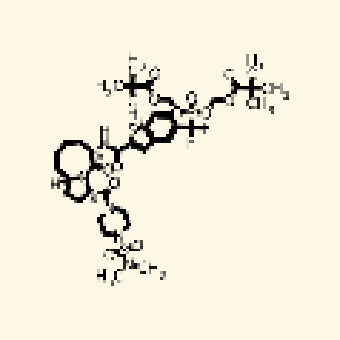 CN(C)S(=O)(=O)N1CCN(C(=O)[C@@H]2CC[C@@H]3CCCC[C@H](NC(=O)c4cc5cc(C(F)(F)P(=O)(OCOC(=O)C(C)(C)C)OCOC(=O)C(C)(C)C)ccc5s4)C(=O)N32)CC1